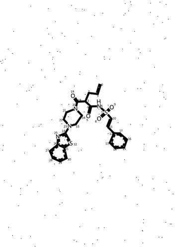 C=CCC(C(=O)NS(=O)(=O)C=Cc1ccccc1)C(=O)N1CCN(c2nc3ccccc3s2)CC1